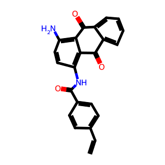 C=Cc1ccc(C(=O)Nc2ccc(N)c3c2C(=O)c2ccccc2C3=O)cc1